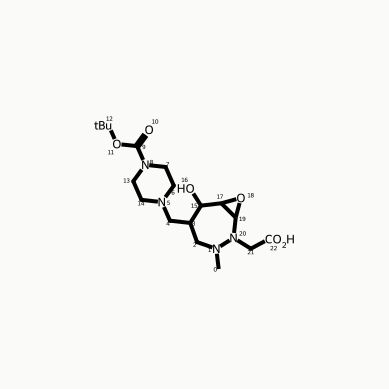 CN1CC(CN2CCN(C(=O)OC(C)(C)C)CC2)C(O)C2OC2N1CC(=O)O